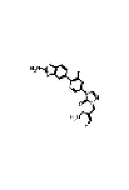 Cc1cc(-n2cnn(C/C(=C/F)CN)c2=O)cnc1-c1ccc2sc(N)nc2c1